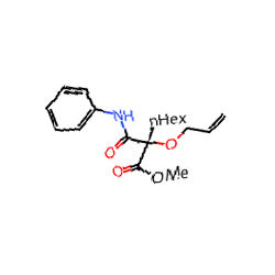 C=CCO[C@@](CCCCCC)(C(=O)Nc1ccccc1)C(=O)OC